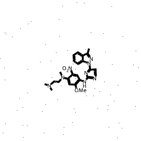 COc1cc(N(C)CCN(C)C)c([N+](=O)[O-])cc1Nc1nccc(-n2nc(C)c3ccccc32)n1